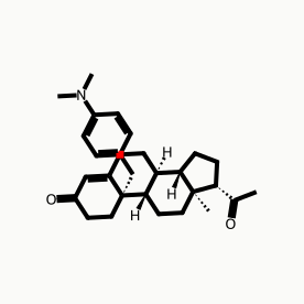 CC(=O)[C@H]1CC[C@H]2[C@@H]3CCC4=CC(=O)CC[C@]4(Cc4ccc(N(C)C)cc4)[C@H]3CC[C@]12C